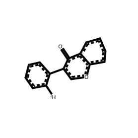 [2H]c1ccccc1-c1coc2ccccc2c1=O